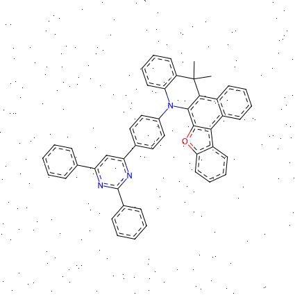 CC1(C)c2ccccc2N(c2ccc(-c3cc(-c4ccccc4)nc(-c4ccccc4)n3)cc2)c2c1c1ccccc1c1c2oc2ccccc21